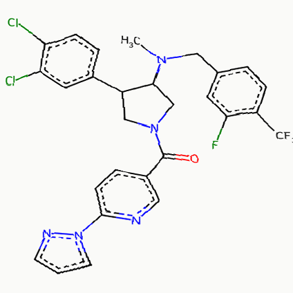 CN(Cc1ccc(C(F)(F)F)c(F)c1)C1CN(C(=O)c2ccc(-n3cccn3)nc2)CC1c1ccc(Cl)c(Cl)c1